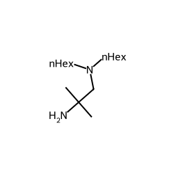 CCCCCCN(CCCCCC)CC(C)(C)N